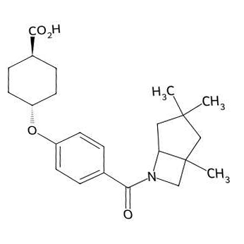 CC1(C)CC2N(C(=O)c3ccc(O[C@H]4CC[C@H](C(=O)O)CC4)cc3)CC2(C)C1